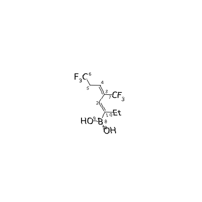 CC/C(=C\C(=C/CC(F)(F)F)C(F)(F)F)B(O)O